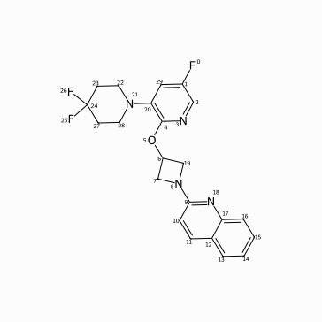 Fc1cnc(OC2CN(c3ccc4ccccc4n3)C2)c(N2CCC(F)(F)CC2)c1